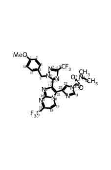 COc1ccc(Cn2nc(C(F)(F)F)nc2-c2nc3nc(C(F)(F)F)ccn3c2-c2cn(S(=O)(=O)N(C)C)cn2)cc1